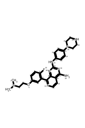 CN(C)CCOc1ccc(F)c(-c2nccc3c(N)nc(Nc4ccc(N5CCNCC5)cc4)nc23)c1